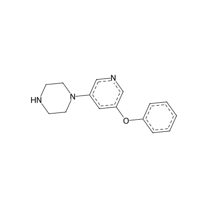 c1ccc(Oc2cncc(N3CCNCC3)c2)cc1